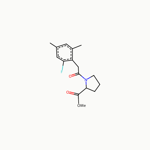 COC(=O)C1CCCN1C(=O)Cc1c(C)cc(C)cc1F